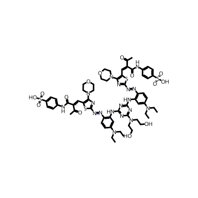 CCN(CC)c1ccc(/N=N/c2nc(N3CCOCC3)c(C=C(C(C)=O)C(=O)Nc3ccc(S(=O)(=O)O)cc3)s2)c(Nc2nc(Nc3cc(N(CC)CC)ccc3/N=N/c3nc(N4CCOCC4)c(/C=C(\C(C)=O)C(=O)Nc4ccc(S(=O)(=O)O)cc4)s3)nc(N(CCO)CCO)n2)c1